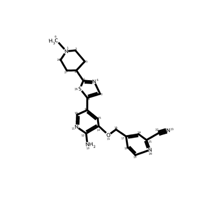 CN1CCC(c2ncc(-c3cnc(N)c(OCc4ccnc(C#N)c4)c3)s2)CC1